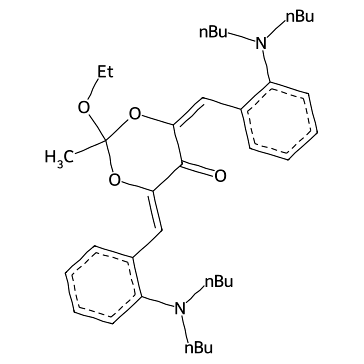 CCCCN(CCCC)c1ccccc1C=C1OC(C)(OCC)OC(=Cc2ccccc2N(CCCC)CCCC)C1=O